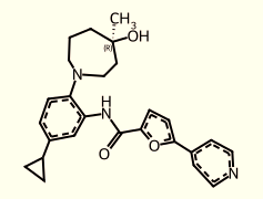 C[C@@]1(O)CCCN(c2ccc(C3CC3)cc2NC(=O)c2ccc(-c3ccncc3)o2)CC1